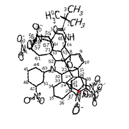 CC(C)(C)C(=O)NCC12C=CC(C3CCCC([N+](=O)[O-])C3)(O1)C1(C3CCCC([N+](=O)[O-])C3)C(C3CCCC([N+](=O)[O-])C3)N(C3CCCC([N+](=O)[O-])C3)C(C3CCCC([N+](=O)[O-])C3)C21C1CCCC([N+](=O)[O-])C1